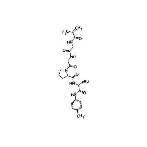 [CH2]c1ccc(NC(=O)C(CCCC)NC(=O)C2CCCN2C(=O)CNC(=O)CNC(=O)C(=C)C)cc1